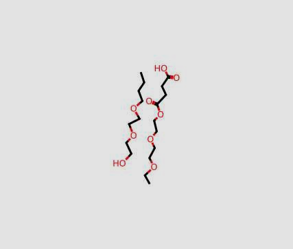 CCCCOCCOCCO.CCOCCOCCOC(=O)CCC(=O)O